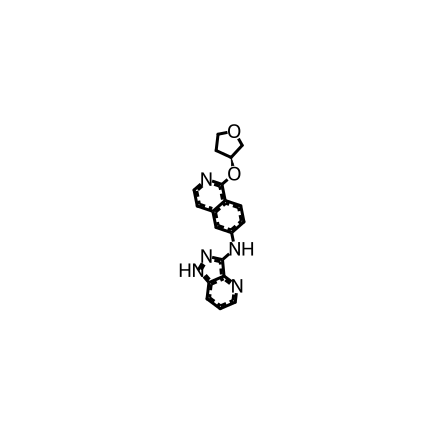 c1cnc2c(Nc3ccc4c(O[C@H]5CCOC5)nccc4c3)n[nH]c2c1